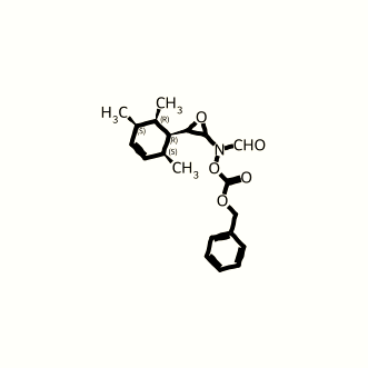 C[C@H]1[C@@H](C2OC2N(C=O)OC(=O)OCc2ccccc2)[C@@H](C)C=C[C@H]1C